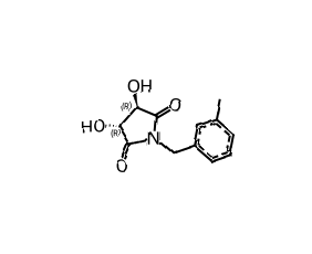 Cc1cccc(CN2C(=O)[C@H](O)[C@@H](O)C2=O)c1